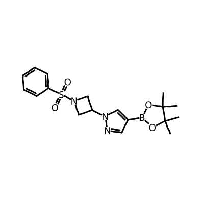 CC1(C)OB(c2cnn(C3CN(S(=O)(=O)c4ccccc4)C3)c2)OC1(C)C